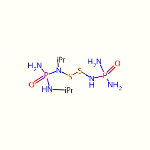 CC(C)NP(N)(=O)N(SSNP(N)(N)=O)C(C)C